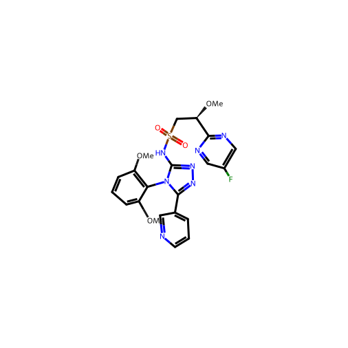 COc1cccc(OC)c1-n1c(NS(=O)(=O)C[C@@H](OC)c2ncc(F)cn2)nnc1-c1cccnc1